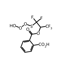 O=C(O)c1ccccc1C(=O)OC(C(F)(F)F)C(F)(F)SOOO